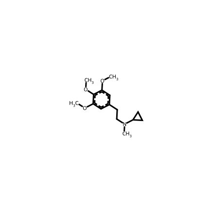 COc1cc(CCN(C)C2CC2)cc(OC)c1OC